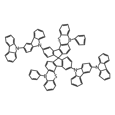 c1ccc(B2c3ccccc3Sc3c2ccc2c3-c3cc(-n4c5ccccc5c5cc(-n6c7ccccc7c7ccccc76)ccc54)ccc3C23c2ccc(-n4c5ccccc5c5cc(-n6c7ccccc7c7ccccc76)ccc54)cc2-c2c3ccc3c2Sc2ccccc2B3c2ccccc2)cc1